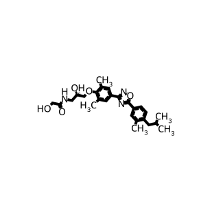 Cc1cc(-c2nc(-c3cc(C)c(OC[C@H](O)CNC(=O)CO)c(C)c3)no2)ccc1CC(C)C